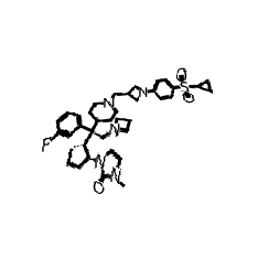 CN1CCN([C@H]2CCC[C@@H]2[C@](CN2CCC2)(c2cccc(F)c2)C2CCN(CC3CN(c4ccc(S(=O)(=O)C5CC5)cc4)C3)CC2)C1=O